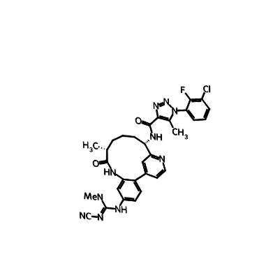 CN/C(=N\C#N)Nc1ccc2c(c1)NC(=O)[C@H](C)CCC[C@H](NC(=O)c1nnn(-c3cccc(Cl)c3F)c1C)c1cc-2ccn1